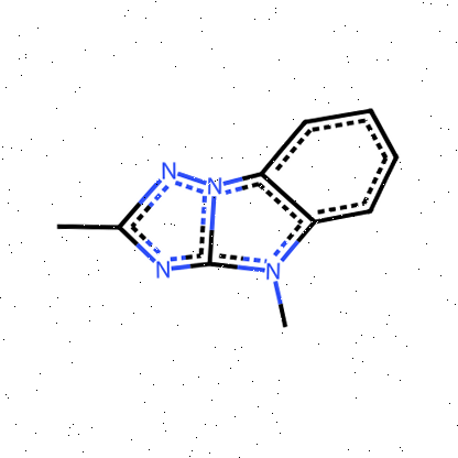 Cc1nc2n(C)c3ccccc3n2n1